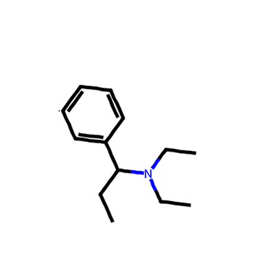 CCC(c1c[c]ccc1)N(CC)CC